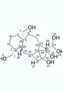 OC[C@@H]1CCC[C@@]2(CO)CC[C@H]3[C@H](C(O)O)CC[C@@H](C[C@H]12)C3(CO)CO